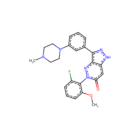 COc1cccc(F)c1-n1nc2c(-c3cccc(N4CCN(C)CC4)c3)n[nH]c2cc1=O